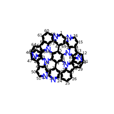 c1cncc(-c2c(-n3c4ccccc4c4ccncc43)c(-n3c4ccccc4c4ccncc43)c(-c3ccncc3)c(-n3c4ccccc4c4ccncc43)c2-n2c3ccccc3c3ccncc32)c1